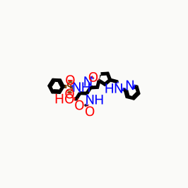 O=CNC(C1=NO[C@]2(CCC(CNc3ccccn3)C2)C1)C(NS(=O)(=O)c1ccccc1)C(=O)O